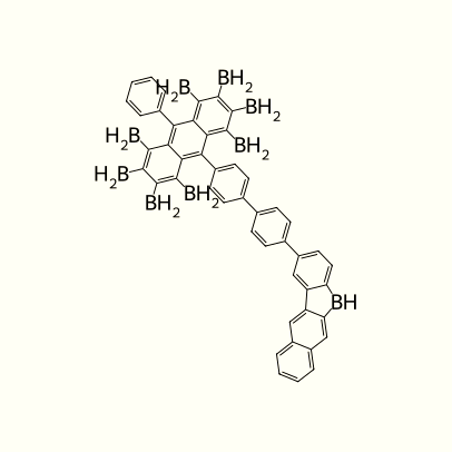 Bc1c(B)c(B)c2c(-c3ccc(-c4ccc(-c5ccc6c(c5)-c5cc7ccccc7cc5B6)cc4)cc3)c3c(B)c(B)c(B)c(B)c3c(-c3ccccc3)c2c1B